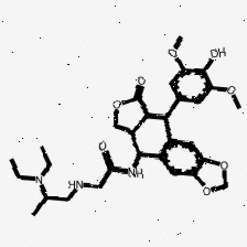 CCN(CC)C(C)CNCC(=O)NC1c2cc3c(cc2C(c2cc(OC)c(O)c(OC)c2)C2C(=O)OCC12)OCO3